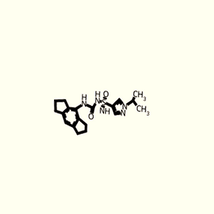 CC(C)n1cc(S(=N)(=O)NC(=O)Nc2c3c(cc4c2CCC4)CCC3)cn1